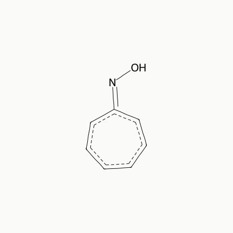 ON=c1cccccc1